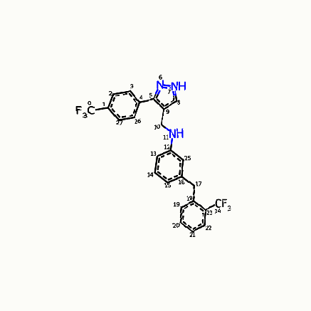 FC(F)(F)c1ccc(-c2n[nH]cc2CNc2cccc(Cc3ccccc3C(F)(F)F)c2)cc1